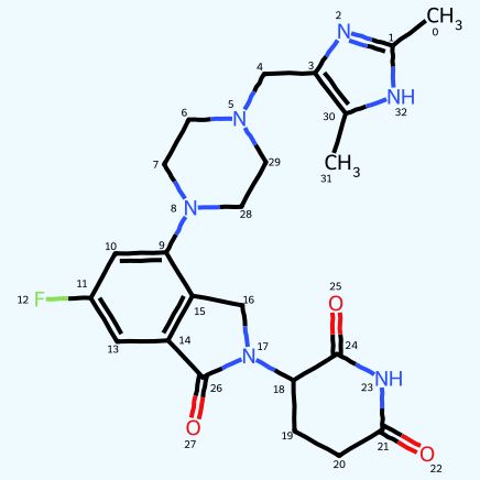 Cc1nc(CN2CCN(c3cc(F)cc4c3CN(C3CCC(=O)NC3=O)C4=O)CC2)c(C)[nH]1